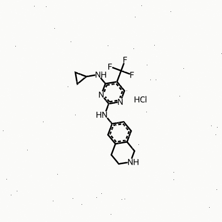 Cl.FC(F)(F)c1cnc(Nc2ccc3c(c2)CCNC3)nc1NC1CC1